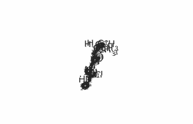 CC(C)(C)[Si](C)(C)OCCN1CC(COc2nccc3c(NCc4ccccc4)cc(Cl)nc23)OC1=O